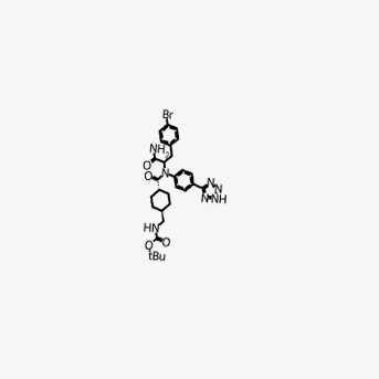 CC(C)(C)OC(=O)NC[C@H]1CC[C@H](C(=O)N(c2ccc(-c3nn[nH]n3)cc2)C(Cc2ccc(Br)cc2)C(N)=O)CC1